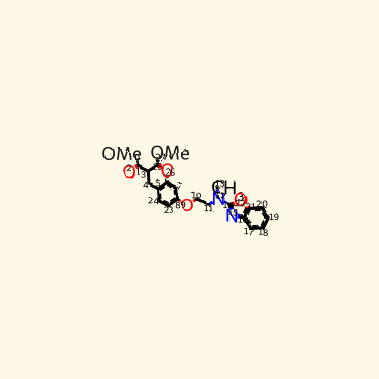 COC(=O)C(Cc1ccc(OCCN(C)c2nc3ccccc3o2)cc1)C(=O)OC